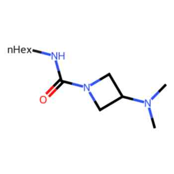 CCCCCCNC(=O)N1CC(N(C)C)C1